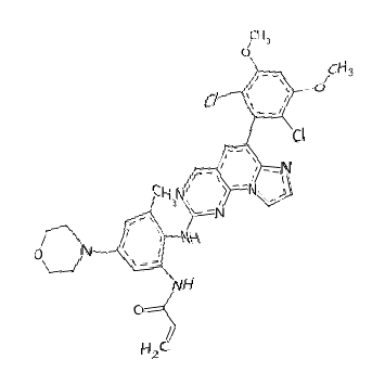 C=CC(=O)Nc1cc(N2CCOCC2)cc(C)c1Nc1ncc2cc(-c3c(Cl)c(OC)cc(OC)c3Cl)c3nccn3c2n1